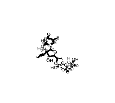 CC#CC1(N)[C@@H](O)[C@@H]([C@@H](C)OP(=O)(O)OP(=O)(O)OP(=O)(O)O)O[C@H]1n1cc(F)c(=O)[nH]c1=O